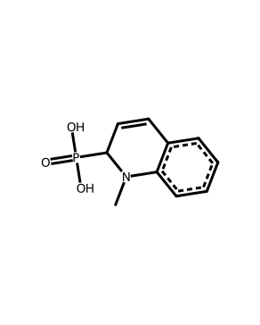 CN1c2ccccc2C=CC1P(=O)(O)O